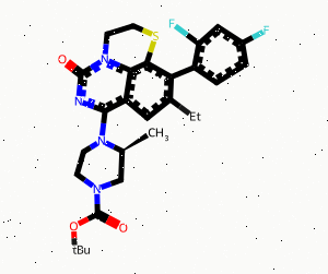 CCc1cc2c(N3CCN(C(=O)OC(C)(C)C)C[C@@H]3C)nc(=O)n3c2c(c1-c1ccc(F)cc1F)SCC3